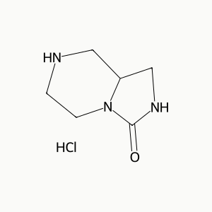 Cl.O=C1NCC2CNCCN12